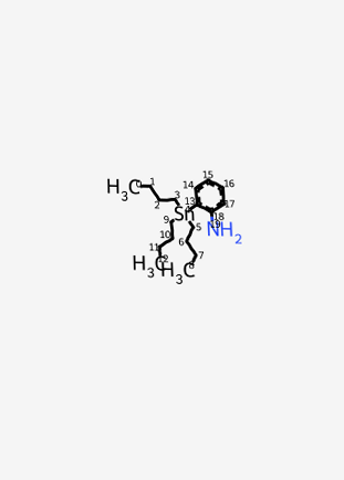 CCC[CH2][Sn]([CH2]CCC)([CH2]CCC)[c]1ccccc1N